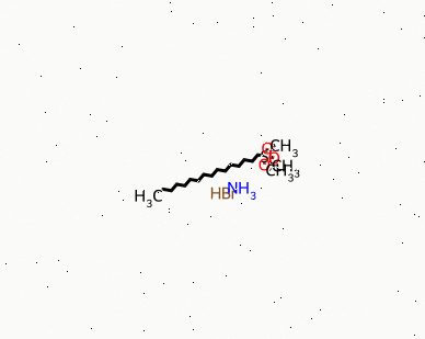 Br.CCCCCCCCCCCCCCCC[Si](OC)(OC)OC.N